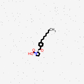 CCCCCCCCc1ccc(C(=O)C[C@@H]2CCCN2C(=O)O)cc1